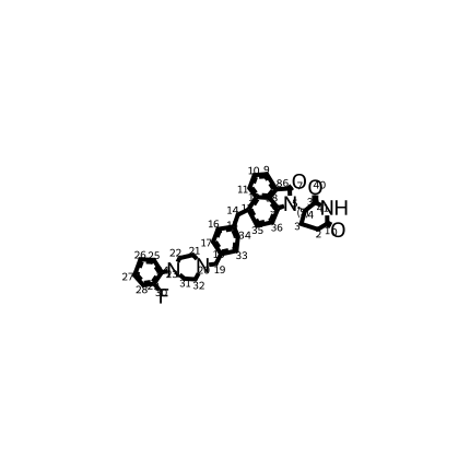 O=C1CC[C@H](N2C(=O)c3cccc4c(Cc5ccc(CN6CCN(c7ccccc7F)CC6)cc5)ccc2c34)C(=O)N1